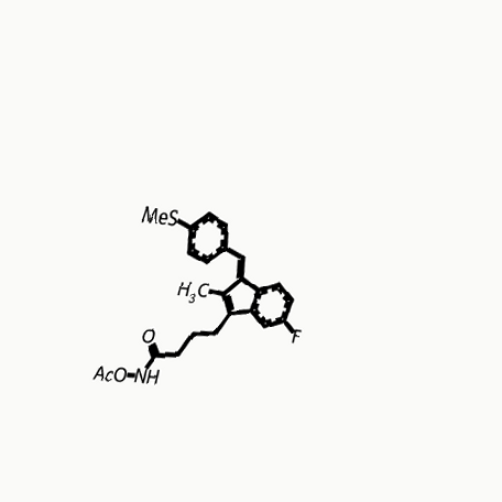 CSc1ccc(C=C2C(C)=C(CCCC(=O)NOC(C)=O)c3cc(F)ccc32)cc1